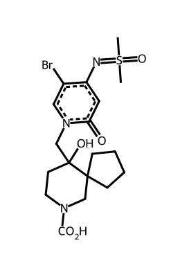 CS(C)(=O)=Nc1cc(=O)n(CC2(O)CCN(C(=O)O)CC23CCCC3)cc1Br